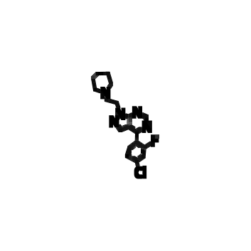 Fc1cc(Cl)ccc1-c1ncnc2c1cnn2CCN1CCCCC1